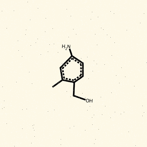 Cc1cc(N)ccc1CO